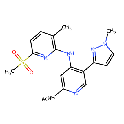 CC(=O)Nc1cc(Nc2nc(S(C)(=O)=O)ccc2C)c(-c2ccn(C)n2)cn1